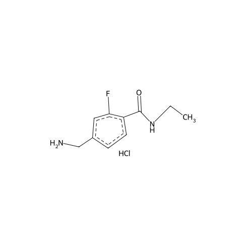 CCNC(=O)c1ccc(CN)cc1F.Cl